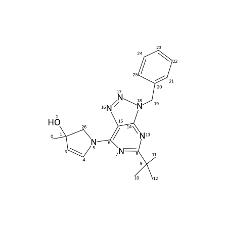 CC1(O)C=CN(c2nc(C(C)(C)C)nc3c2nnn3Cc2ccccc2)C1